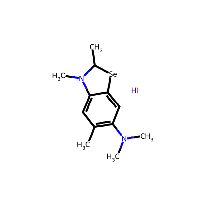 Cc1cc2c(cc1N(C)C)[Se]C(C)N2C.I